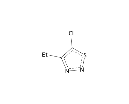 CCc1nnsc1Cl